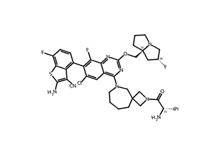 CC(C)[C@H](N)C(=O)N1CC2(CCCCN(c3nc(OC[C@@]45CCCN4C[C@H](F)C5)nc4c(F)c(-c5ccc(F)c6sc(N)c(C#N)c56)c(Cl)cc34)C2)C1